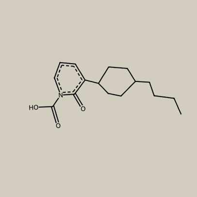 CCCCC1CCC(c2cccn(C(=O)O)c2=O)CC1